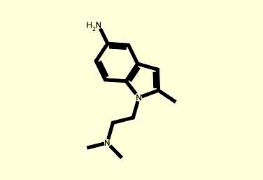 Cc1cc2cc(N)ccc2n1CCN(C)C